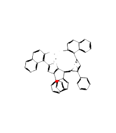 C1=C(c2ccccc2)/C2=C(\c3ccccc3)c3c(-c4ccccc4)cc4n3B(Oc3ccc5ccccc5c3C1=N2)Oc1ccc2ccccc2c1-4